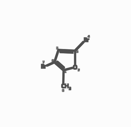 Cc1oc(Br)cc1Br